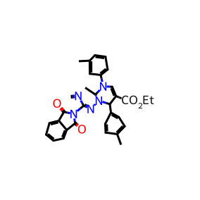 C=N/C(=N\N1C(c2ccc(C)cc2)C(C(=O)OCC)=CN(c2cccc(C)c2)C1C)N1C(=O)c2ccccc2C1=O